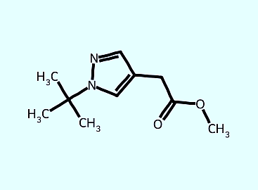 COC(=O)Cc1cnn(C(C)(C)C)c1